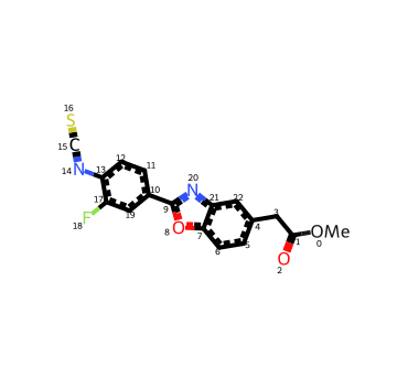 COC(=O)Cc1ccc2oc(-c3ccc(N=C=S)c(F)c3)nc2c1